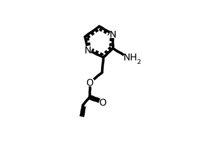 C=CC(=O)OCc1nccnc1N